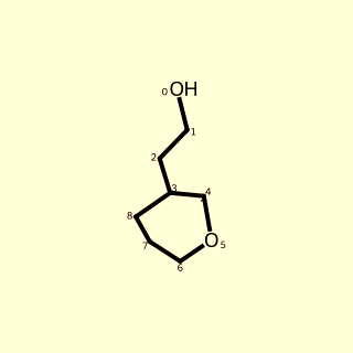 OCCC1[C]OCCC1